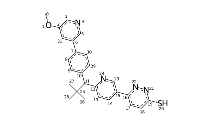 COc1cncc(-c2ccc(C(c3ccc(-c4ccc(S)nn4)cn3)C(C)(C)C)cc2)c1